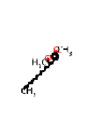 CCCCCCCCCCCCCC(Cc1ccc(OC)cc1)C(C)=O